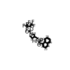 O=C(OC(C(F)(F)F)C(F)(F)F)N1CCC(CNS(=O)(=O)c2cccc3ccccc23)C1